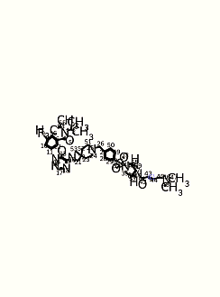 CC(C)N(C(=O)c1cc(F)ccc1Oc1nncnc1N1CC2(CCN(Cc3ccc(S(=O)(=O)N4C[C@@H]5C[C@H]4CN5C(=O)/C=C/CN(C)C)cc3)CC2)C1)C(C)C